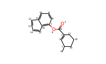 CC1C=C(C(=O)Oc2cccc3ccc[c]c23)CCC1